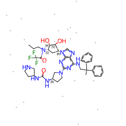 CCCN(C(=O)C(F)(F)F)[C@H]1C[C@@H](n2cnc3c(NCC(C)(c4ccccc4)c4ccccc4)nc(N4CC[C@@H](NC(=O)NC5CCNC5)C4)nc32)[C@H](O)[C@@H]1O